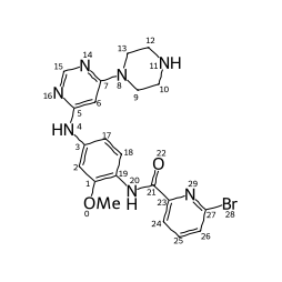 COc1cc(Nc2cc(N3CCNCC3)ncn2)ccc1NC(=O)c1cccc(Br)n1